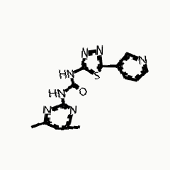 Cc1cc(C)nc(NC(=O)Nc2nnc(-c3cccnc3)s2)n1